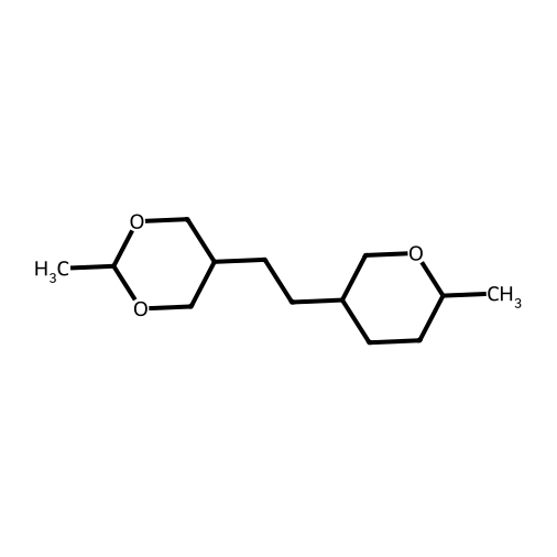 CC1CCC(CCC2COC(C)OC2)CO1